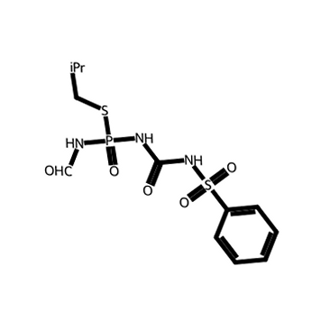 CC(C)CSP(=O)(NC=O)NC(=O)NS(=O)(=O)c1ccccc1